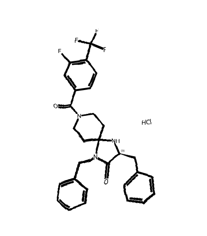 Cl.O=C(c1ccc(C(F)(F)F)c(F)c1)N1CCC2(CC1)N[C@@H](Cc1ccccc1)C(=O)N2Cc1ccccc1